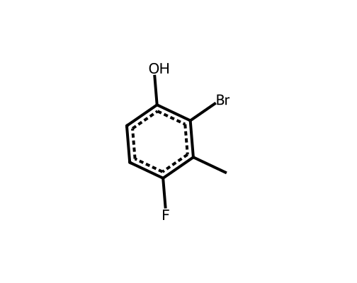 Cc1c(F)ccc(O)c1Br